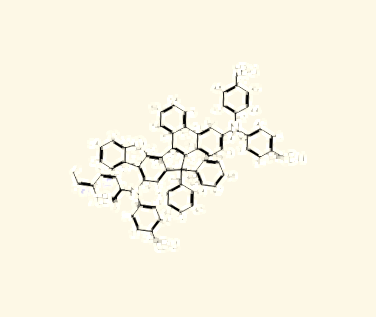 C=C(/C=C\C(=C/C)C(C)(C)C)N(c1ccc(C(C)(C)C)cc1)c1cc2c(c3oc4ccccc4c13)-c1c(c3ccc(N(c4ccc(C(C)(C)C)cc4)c4ccc(C(C)(C)C)cc4)cc3c3ccccc13)C2(c1ccccc1)c1ccccc1